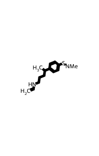 C=CNCCCC(C)c1ccc(SNC)cc1